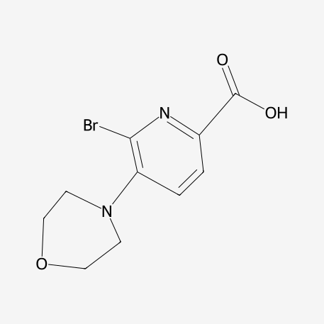 O=C(O)c1ccc(N2CCOCC2)c(Br)n1